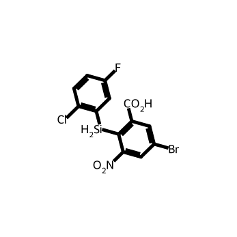 O=C(O)c1cc(Br)cc([N+](=O)[O-])c1[SiH2]c1cc(F)ccc1Cl